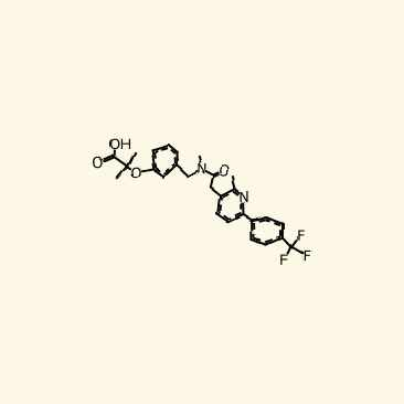 Cc1nc(-c2ccc(C(F)(F)F)cc2)ccc1CC(=O)N(C)Cc1cccc(OC(C)(C)C(=O)O)c1